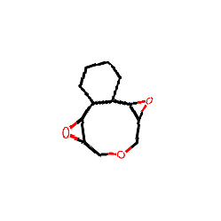 C1CCC2C(C1)C1OC1COCC1OC12